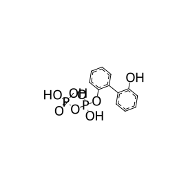 O=P(O)(O)OP(=O)(O)Oc1ccccc1-c1ccccc1O